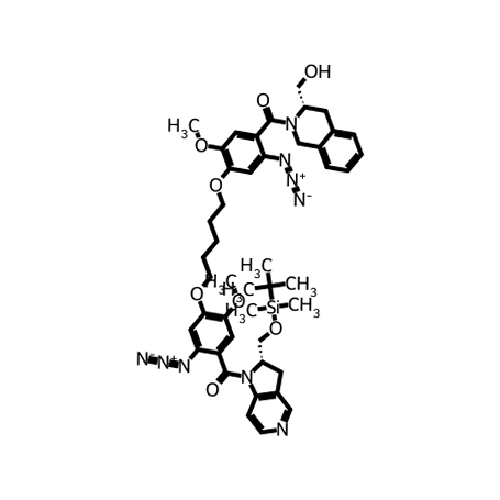 COc1cc(C(=O)N2Cc3ccccc3C[C@H]2CO)c(N=[N+]=[N-])cc1OCCCCCOc1cc(N=[N+]=[N-])c(C(=O)N2c3ccncc3C[C@H]2CO[Si](C)(C)C(C)(C)C)cc1OC